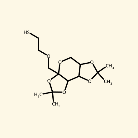 CC1(C)OC2COC3(COCCS)OC(C)(C)OC3C2O1